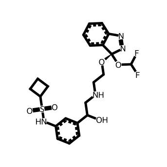 O=S(=O)(Nc1cccc(C(O)CNCCO[C@]2(OC(F)F)N=Nc3ccccc32)c1)C1CCC1